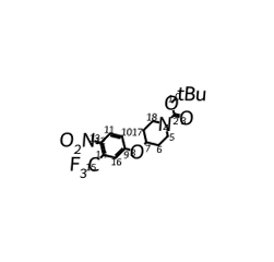 CC(C)(C)OC(=O)N1CCC(Oc2ccc([N+](=O)[O-])c(C(F)(F)F)c2)CC1